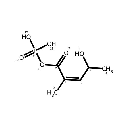 CC(=CC(C)O)C(=O)OP(=O)(O)O